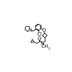 CN(CC1CC(Oc2cccc(CN3CCCC3)c2Cl)C1)C(=O)CC1CC1